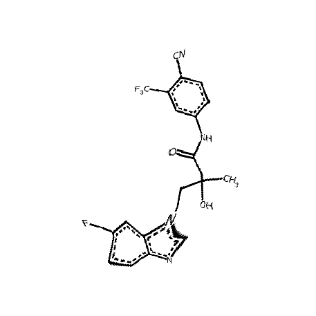 CC(O)(Cn1cnc2ccc(F)cc21)C(=O)Nc1ccc(C#N)c(C(F)(F)F)c1